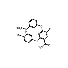 CCc1nc(C(N)=O)c(Oc2ccc(Br)cc2)nc1Oc1cccc(NC(=O)O)c1